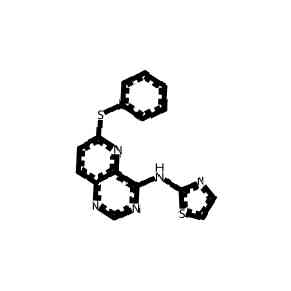 c1ccc(Sc2ccc3ncnc(Nc4nccs4)c3n2)cc1